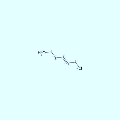 CCC/C=C/CCl